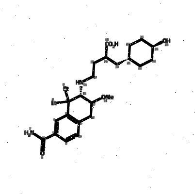 CCC1(CC)c2cc(C(N)=O)ccc2CC(OC)[C@H]1NCCC(C[C@H]1CC[C@H](O)CC1)C(=O)O